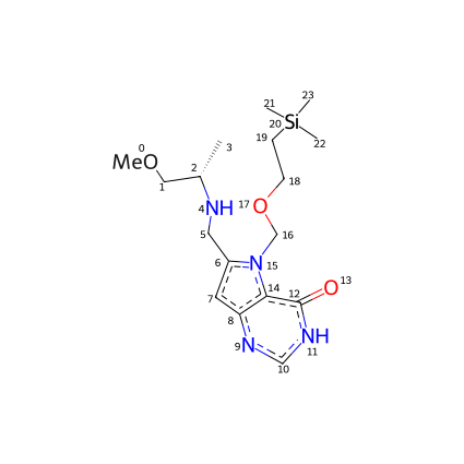 COC[C@H](C)NCc1cc2nc[nH]c(=O)c2n1COCC[Si](C)(C)C